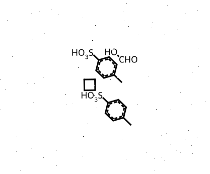 C1CCC1.Cc1ccc(S(=O)(=O)O)cc1.Cc1ccc(S(=O)(=O)O)cc1.O=CO